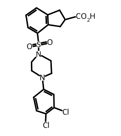 O=C(O)C1Cc2cccc(S(=O)(=O)N3CCN(c4ccc(Cl)c(Cl)c4)CC3)c2C1